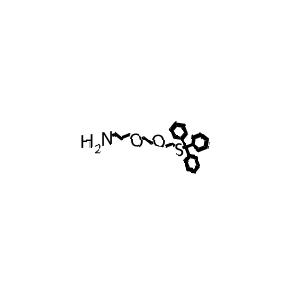 NCCCOCCOCCSC(c1ccccc1)(c1ccccc1)c1ccccc1